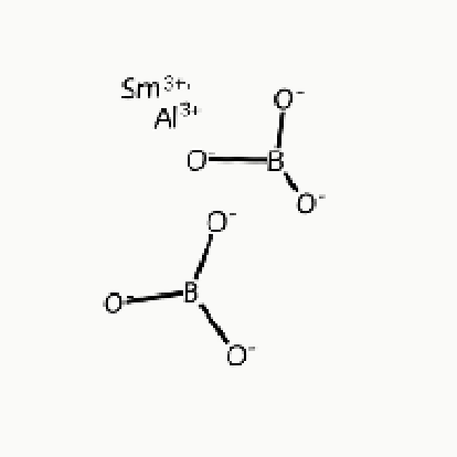 [Al+3].[O-]B([O-])[O-].[O-]B([O-])[O-].[Sm+3]